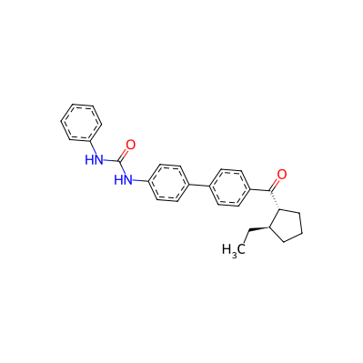 CC[C@@H]1CCC[C@H]1C(=O)c1ccc(-c2ccc(NC(=O)Nc3ccccc3)cc2)cc1